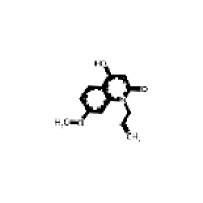 C=CCn1c(=O)cc(O)c2ccc(OC)cc21